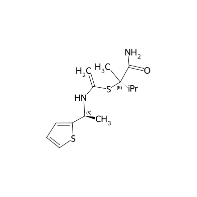 C=C(N[C@@H](C)c1cccs1)S[C@@](C)(C(N)=O)C(C)C